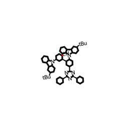 CC(C)(C)c1ccc2c(c1)c1ccccc1n2-c1ccc(C#N)c(-c2cc(-c3nc(-c4ccccc4)nc(-c4ccccc4)n3)ccc2-n2c3ccccc3c3cc(C(C)(C)C)ccc32)c1